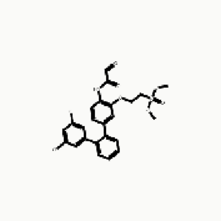 COP(=O)(CCOc1cc(-c2ccccc2-c2cc(Cl)cc(Cl)c2)ccc1NC(=O)C=O)OC